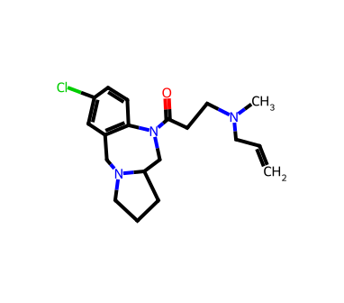 C=CCN(C)CCC(=O)N1CC2CCCN2Cc2cc(Cl)ccc21